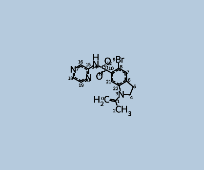 C=C(C)N1CCc2cc(Br)c(S(=O)(=O)Nc3cnccn3)cc21